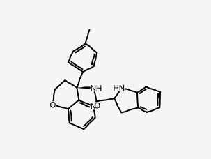 Cc1ccc([C@@]2(NC(=O)C3Cc4ccccc4N3)CCOc3cccnc32)cc1